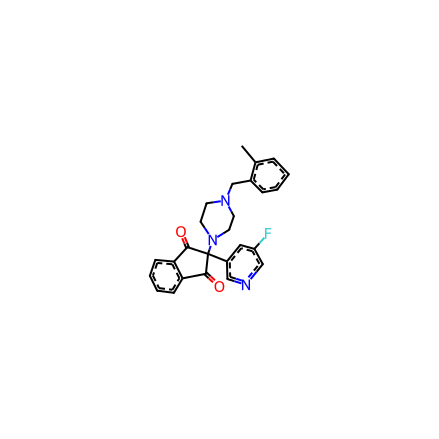 Cc1ccccc1CN1CCN(C2(c3cncc(F)c3)C(=O)c3ccccc3C2=O)CC1